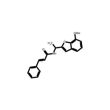 COc1cccc2cc(C(C)NC(=O)/C=C/c3ccccc3)oc12